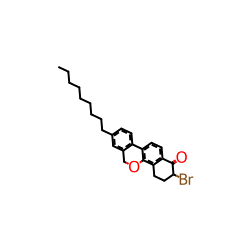 CCCCCCCCCc1ccc2c(c1)COc1c-2ccc2c1CCC(Br)C2=O